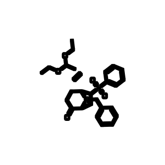 C=C.CCOC(C)OCC.O=C1CCC2C(S(=O)(=O)c3ccccc3)CC1N2Cc1ccccc1